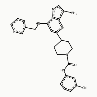 Bc1cnn2c(NCc3cccnc3)cc(C3CCN(C(=O)Nc4cccc(C#N)c4)CC3)nc12